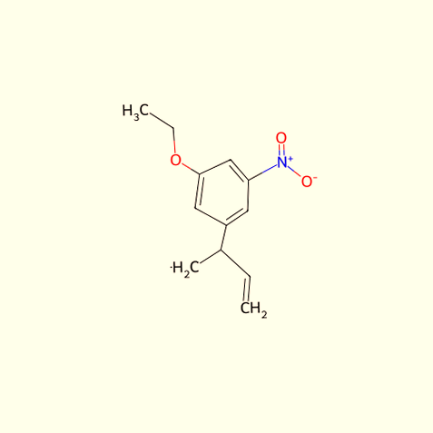 [CH2]C(C=C)c1cc(OCC)cc([N+](=O)[O-])c1